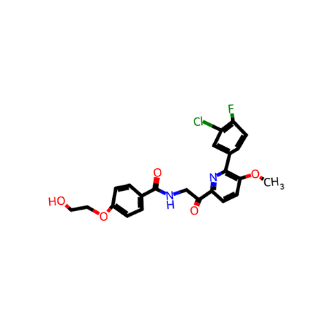 COc1ccc(C(=O)CNC(=O)c2ccc(OCCO)cc2)nc1-c1ccc(F)c(Cl)c1